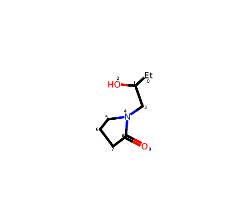 CCC(O)CN1CCCC1=O